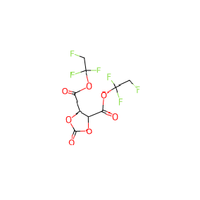 O=C1OC(C(=O)OC(F)(F)CF)C(C(=O)OC(F)(F)CF)O1